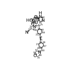 N#CC1CN(CC(Cc2nc[nH]c(=O)c2OP(=O)(O)O)c2ccc(C#Cc3ccc(CN4CCOCC4)cc3)cc2)C1